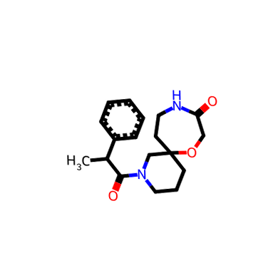 CC(C(=O)N1CCCC2(CCNC(=O)CO2)C1)c1ccccc1